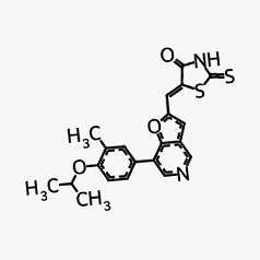 Cc1cc(-c2cncc3cc(/C=C4\SC(=S)NC4=O)oc23)ccc1OC(C)C